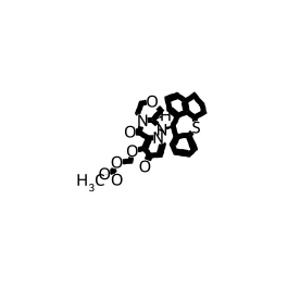 COC(=O)OCOc1c2n(ccc1=O)N([C@@H]1c3ccccc3SC3CCCc4cccc1c43)[C@@H]1COCCN1C2=O